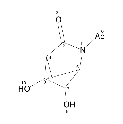 CC(=O)N1C(=O)C2CC1C(O)C2O